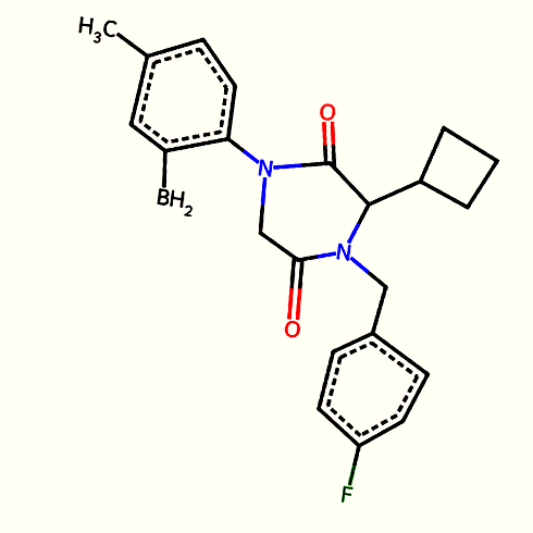 Bc1cc(C)ccc1N1CC(=O)N(Cc2ccc(F)cc2)C(C2CCC2)C1=O